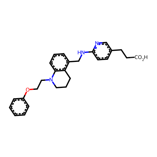 O=C(O)CCc1ccc(NCc2cccc3c2CCCN3CCOc2ccccc2)nc1